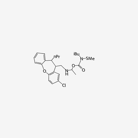 CCCC1c2ccccc2Oc2ccc(Cl)cc2C1CNC(C)OC(=O)N(SC)C(C)CC